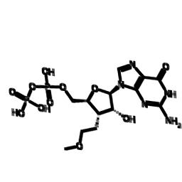 COCC[C@H]1[C@@H](O)[C@H](n2cnc3c(=O)[nH]c(N)nc32)O[C@@H]1COP(=O)(O)OP(=O)(O)O